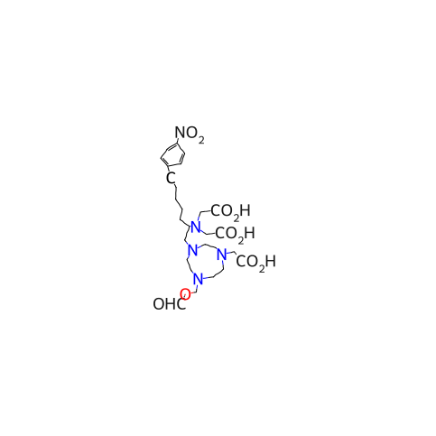 O=COCN1CCN(CC(=O)O)CCN(CC(CCCCCc2ccc([N+](=O)[O-])cc2)N(CC(=O)O)CC(=O)O)CC1